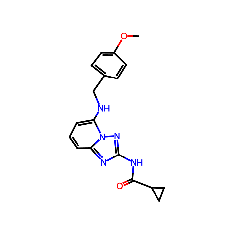 COc1ccc(CNc2cccc3nc(NC(=O)C4CC4)nn23)cc1